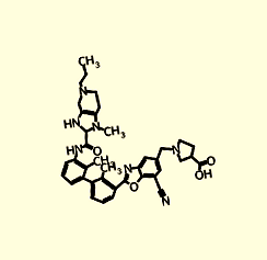 CCCN1CCC2=C(C1)NC(C(=O)Nc1cccc(-c3cccc(-c4nc5cc(CN6CCC(C(=O)O)C6)cc(C#N)c5o4)c3C)c1C)N2C